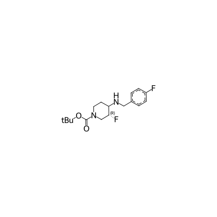 CC(C)(C)OC(=O)N1CCC(NCc2ccc(F)cc2)[C@H](F)C1